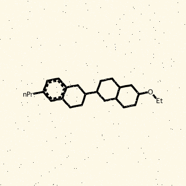 CCCc1ccc2c(c1)CCC(C1CCC3CC(OCC)CCC3C1)C2